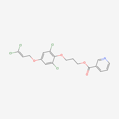 O=C(OCCCOc1c(Cl)cc(OCC=C(Cl)Cl)cc1Cl)c1cccnc1